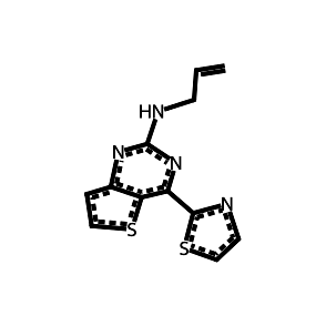 C=CCNc1nc(-c2nccs2)c2sccc2n1